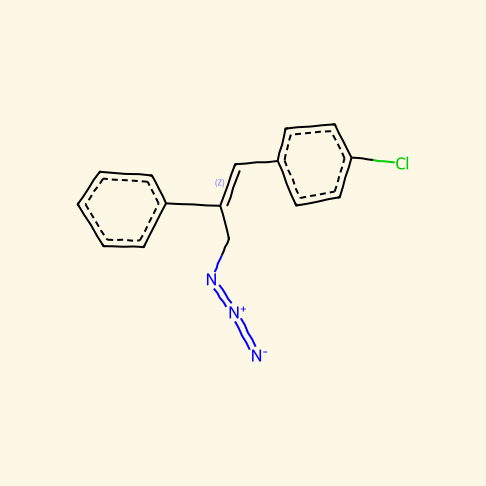 [N-]=[N+]=NC/C(=C\c1ccc(Cl)cc1)c1ccccc1